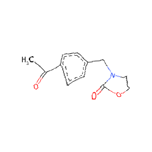 CC(=O)c1ccc(CN2CCOC2=O)cc1